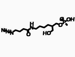 CP(=O)(O)OCC(CO)CCCCNC(=O)CCCN=[N+]=[N-]